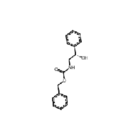 O=C(NC[C@@H](O)c1ccccc1)OCc1ccccc1